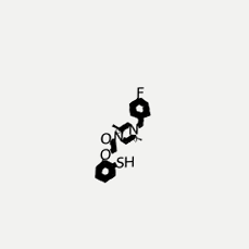 C[C@@H]1CN(C(=O)COc2ccccc2S)[C@@H](C)CN1Cc1ccc(F)cc1